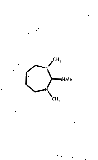 CNC1N(C)CCCCN1C